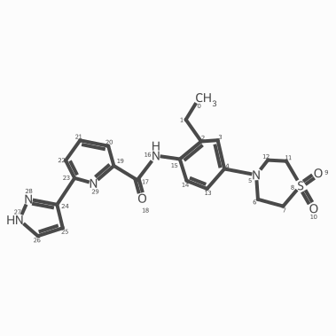 CCc1cc(N2CCS(=O)(=O)CC2)ccc1NC(=O)c1cccc(-c2cc[nH]n2)n1